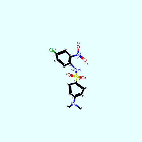 CN(C)c1ccc(S(=O)(=O)Nc2ccc(Cl)cc2[N+](=O)[O-])cc1